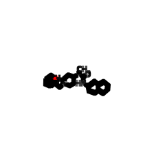 CN(C(=O)Nc1ccc2ccccc2c1)C1CCN(CC2=CCC3CC2C3(C)C)CC1